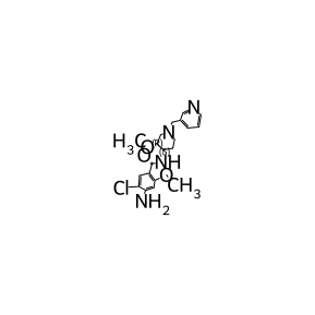 COc1cc(N)c(Cl)cc1C(=O)N[C@H]1CCN(Cc2cccnc2)C[C@H]1OC